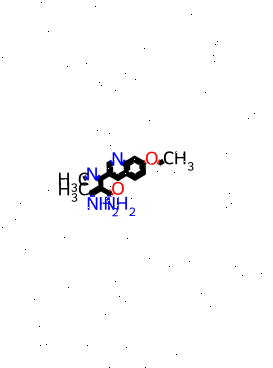 CCOc1ccc2cc(C(=N/C)/C(C(N)=O)=C(\C)N)cnc2c1